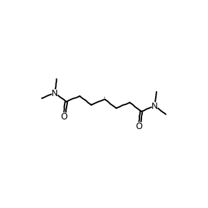 CN(C)C(=O)CC[CH]CCC(=O)N(C)C